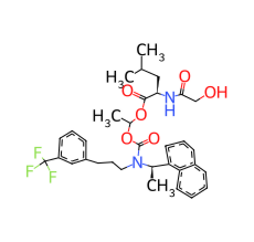 CC(C)C[C@@H](NC(=O)CO)C(=O)OC(C)OC(=O)N(CCCc1cccc(C(F)(F)F)c1)[C@H](C)c1cccc2ccccc12